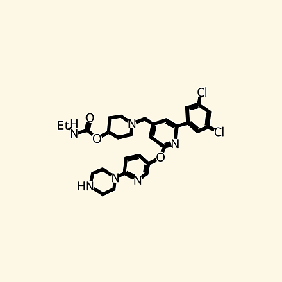 CCNC(=O)OC1CCN(Cc2cc(Oc3ccc(N4CCNCC4)nc3)nc(-c3cc(Cl)cc(Cl)c3)c2)CC1